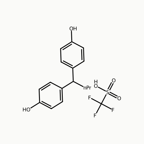 CCCC(c1ccc(O)cc1)c1ccc(O)cc1.O=S(=O)(O)C(F)(F)F